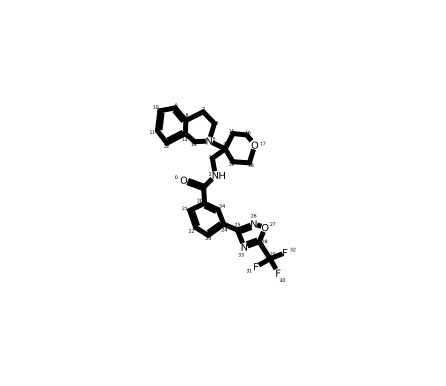 O=C(NCC1(N2CCc3ccccc3C2)CCOCC1)c1cccc(-c2noc(C(F)(F)F)n2)c1